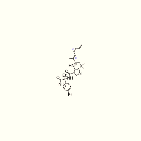 C=C/C=C\C=C(/C)[C@H]1CC(C)(C)n2ncc(C(=O)N[C@](CC)(C(N)=O)c3ccc(CC)cc3)c2N1